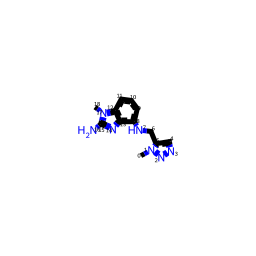 Cn1nncc1CNc1cccc2c1nc(N)n2C